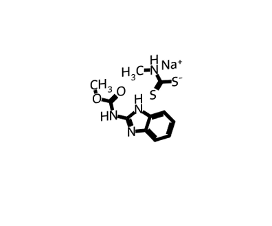 CNC(=S)[S-].COC(=O)Nc1nc2ccccc2[nH]1.[Na+]